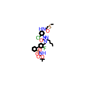 CCCCc1nn(-c2cc(NC(=O)CSCC)ccc2Cl)c(=O)n1Cc1ccc(-c2ccccc2S(=O)(=O)NC(=O)OC(C)(C)C)cc1F